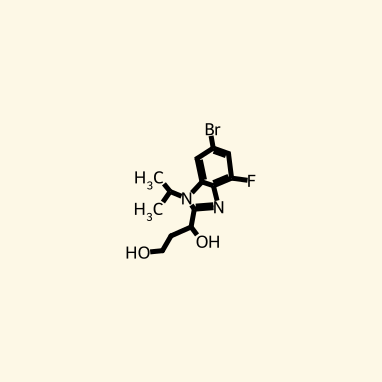 CC(C)n1c(C(O)CCO)nc2c(F)cc(Br)cc21